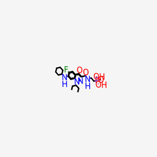 CCC(CC)n1nc(C(=O)NCCP(=O)(O)O)c(=O)c2cc(F)c(NC3CCCCC3)cc21